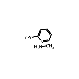 CCCc1ccccn1.CN